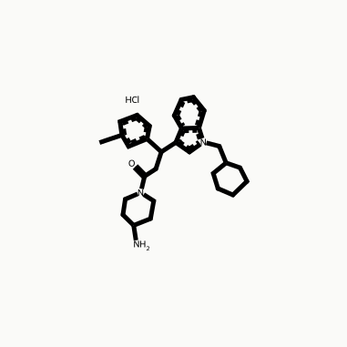 Cc1cccc(C(CC(=O)N2CCC(N)CC2)c2cn(CC3CCCCC3)c3ccccc23)c1.Cl